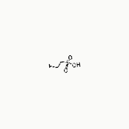 O=S(=O)(O)CCI